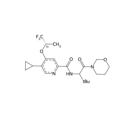 C[C@H](Oc1cc(C(=O)NC(C(=O)N2CCCOC2)C(C)(C)C)ncc1C1CC1)C(F)(F)F